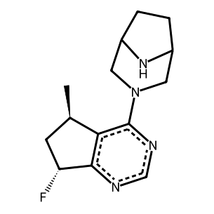 C[C@@H]1C[C@@H](F)c2ncnc(N3CC4CCC(C3)N4)c21